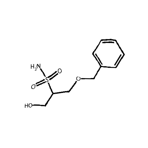 NS(=O)(=O)C(CO)COCc1ccccc1